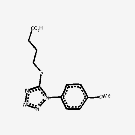 COc1ccc(-n2nnnc2SCCCC(=O)O)cc1